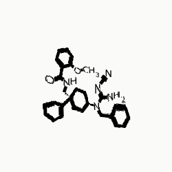 COc1ccccc1C(=O)NC[C@]1(c2ccccc2)CC[C@@H](N(Cc2ccccc2)C(N)=NC#N)CC1